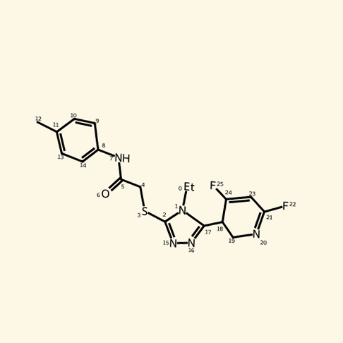 CCn1c(SCC(=O)Nc2ccc(C)cc2)nnc1C1CN=C(F)C=C1F